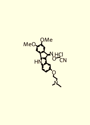 COc1cc2c(cc1OC)-c1[nH]c3ccc(OCCN(C)C)cc3c1C2=NOCC#N.Cl